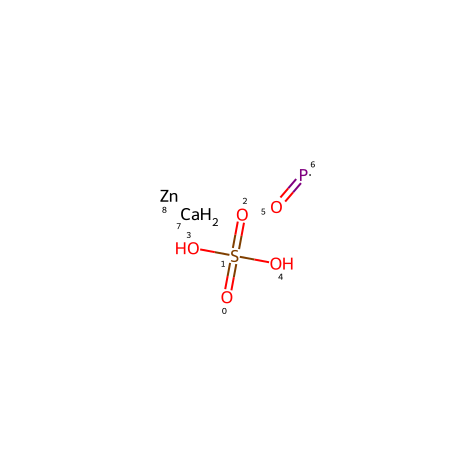 O=S(=O)(O)O.O=[P].[CaH2].[Zn]